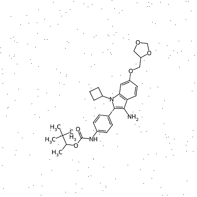 CC(OC(=O)Nc1ccc(-c2c(N)c3ccc(OCC4COCO4)cc3n2C2CCC2)cc1)C(C)(C)C